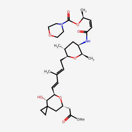 COC(=O)C[C@@H]1CC2(CC2)[C@H](O)[C@@H](/C=C/C(C)=C/C[C@@H]2O[C@H](C)[C@H](NC(=O)/C=C\[C@H](C)OC(=O)N3CCOCC3)C[C@H]2C)O1